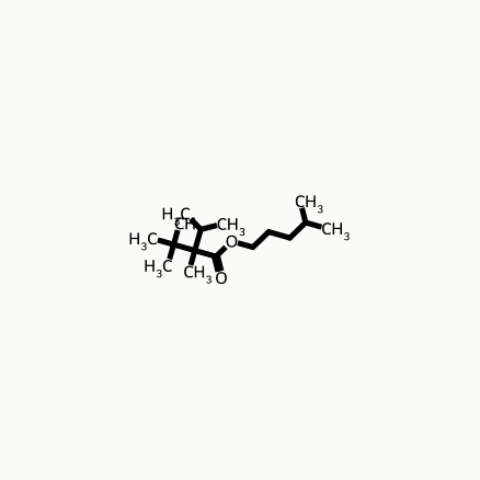 CC(C)CCCOC(=O)C(C)(C(C)C)C(C)(C)C